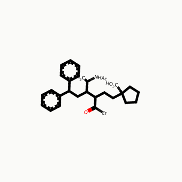 CCC(=O)C(CCC1(C(=O)O)CCCC1)C(CC(c1ccccc1)c1ccccc1)C(C)NC(C)=O